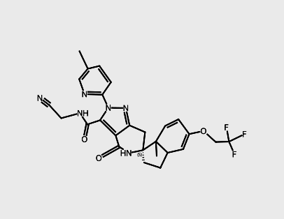 Cc1ccc(-n2nc3c(c2C(=O)NCC#N)C(=O)N[C@@]2(CCC4C=C(OCC(F)(F)F)C=CC42C)C3)nc1